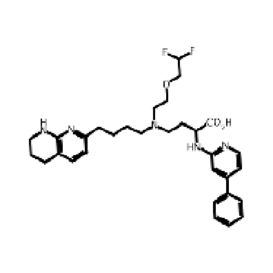 O=C(O)C(CCN(CCCCc1ccc2c(n1)NCCC2)CCOCC(F)F)Nc1cc(-c2ccccc2)ccn1